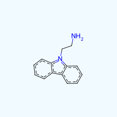 NCCn1c2ccccc2c2ccccc21